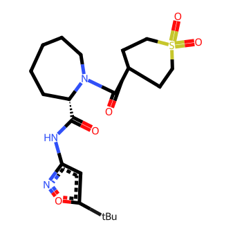 CC(C)(C)c1cc(NC(=O)[C@@H]2CCCCCN2C(=O)C2CCS(=O)(=O)CC2)no1